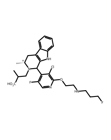 CC(CN1C(c2c(F)cnc(OCCNCCCF)c2Cl)c2[nH]c3ccccc3c2C[C@H]1C)C(=O)O